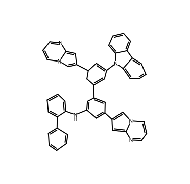 C1=C(c2cc(Nc3ccccc3-c3ccccc3)cc(-c3cc4ncccn4c3)c2)CC(c2cc3ncccn3c2)C=C1n1c2ccccc2c2ccccc21